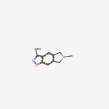 CNc1noc2cc3c(cc12)CN(C(C)C)C3